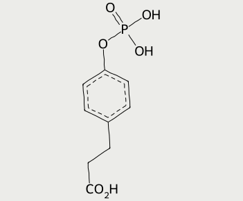 O=C(O)CCc1ccc(OP(=O)(O)O)cc1